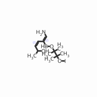 CC(O)/C=C\C(BOC(C)(C)C(C)(C)OI)=C/N